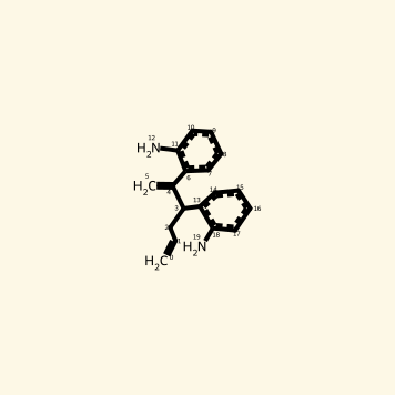 C=CC[C](C(=C)c1ccccc1N)c1ccccc1N